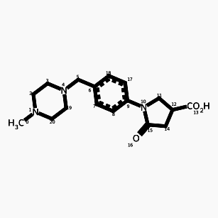 CN1CCN(Cc2ccc(N3CC(C(=O)O)CC3=O)cc2)CC1